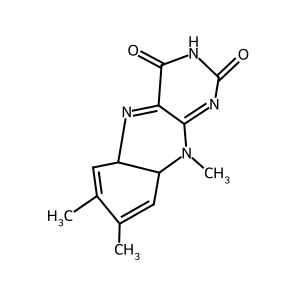 CC1=CC2N=C3C(=O)NC(=O)N=C3N(C)C2C=C1C